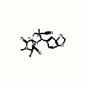 CN1C(=O)[C@@]23C[C@](C)(C#N)C(c4ccc5c(c4)OCO5)N2C(=O)C1(C)SS3